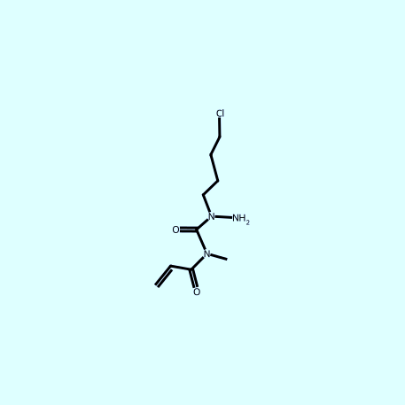 C=CC(=O)N(C)C(=O)N(N)CCCCCl